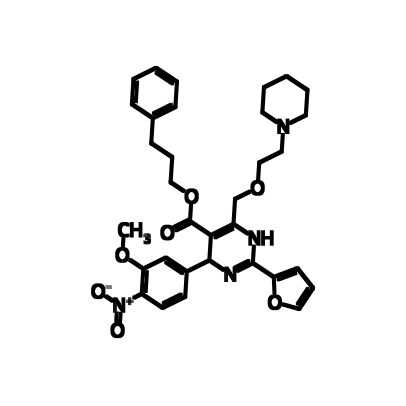 COc1cc(C2N=C(c3ccco3)NC(COCCN3CCCCC3)=C2C(=O)OCCCc2ccccc2)ccc1[N+](=O)[O-]